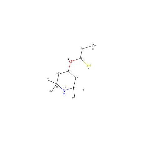 CC(C)CC(S)OC1CC(C)(C)NC(C)(C)C1